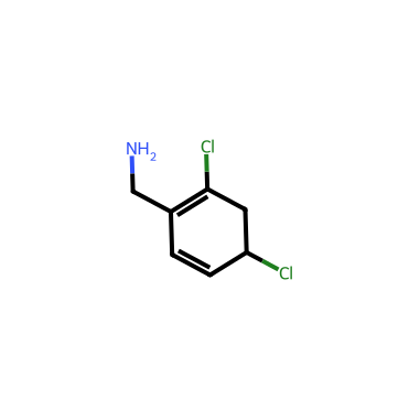 NCC1=C(Cl)CC(Cl)C=C1